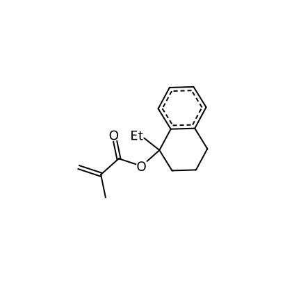 C=C(C)C(=O)OC1(CC)CCCc2ccccc21